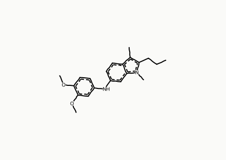 CCCc1c(C)c2ccc(Nc3ccc(OC)c(OC)c3)cc2n1C